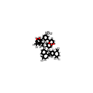 Cc1cc2c3c(c1)N(c1c(-c4ccccc4)cc(C(C)(C)C)cc1-c1ccccc1)c1c(sc4c1C(C)(C)CCC4(C)C)B3c1ccc3c(c1N2c1ccc2c(c1)C(C)(C)CCC2(C)C)C(C)(C)CCC3(C)C